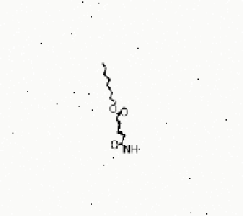 CCCCCCCCOC(=O)C=CC=CC([NH])=O